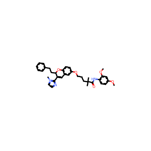 COc1ccc(NC(=O)C(C)(C)CCCOc2ccc3c(c2)C=C(c2nccn2C)C(CCc2ccccc2)O3)c(OC)c1